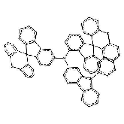 c1ccc(-n2c3ccccc3c3ccc(N(c4ccc5c(c4)-c4ccccc4C54c5ccccc5Sc5ccccc54)c4cccc5c4-c4ccccc4C54c5ccccc5Sc5ccccc54)cc32)cc1